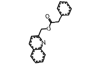 O=C(Cc1ccccc1)OCc1ccc2ccccc2n1